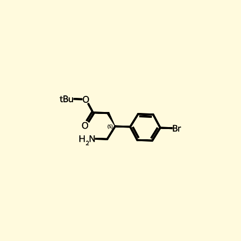 CC(C)(C)OC(=O)C[C@H](CN)c1ccc(Br)cc1